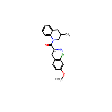 CCOC(=O)Oc1ccc(C[C@H](N)C(=O)N2CC(C)Cc3ccccc32)c(Br)c1